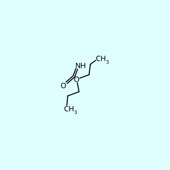 CCCOCCC.N=C=O